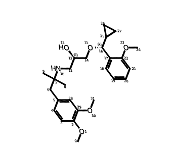 COc1ccc(CC(C)(C)NC[C@@H](O)CO[C@@H](c2ccccc2OC)C2CC2)cc1OC